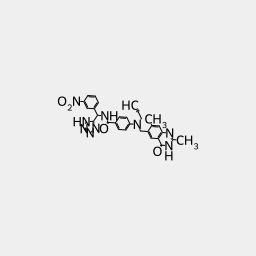 C#CCN(Cc1cc2c(=O)[nH]c(C)nc2cc1C)c1ccc(C(=O)NC(c2cccc([N+](=O)[O-])c2)c2nnn[nH]2)cc1